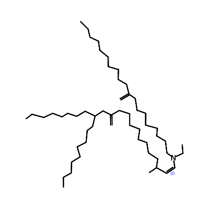 C=C(CCCCCCCCCC)CCCCCCCCN(/C=C\C(C)CCCCCCCCC(=C)CC(CCCCCCCC)CCCCCCCCC)CC